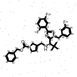 CC(C)(C)[C@@H](NCC1=CCN(C(=O)OCc2ccccc2)C1)c1nc(-c2cc(F)ccc2F)nn1Cc1cccc(F)c1